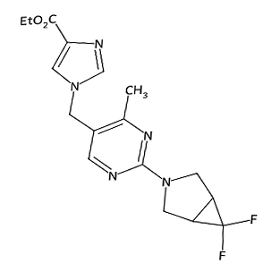 CCOC(=O)c1cn(Cc2cnc(N3CC4C(C3)C4(F)F)nc2C)cn1